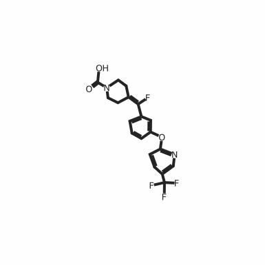 O=C(O)N1CCC(=C(F)c2cccc(Oc3ccc(C(F)(F)F)cn3)c2)CC1